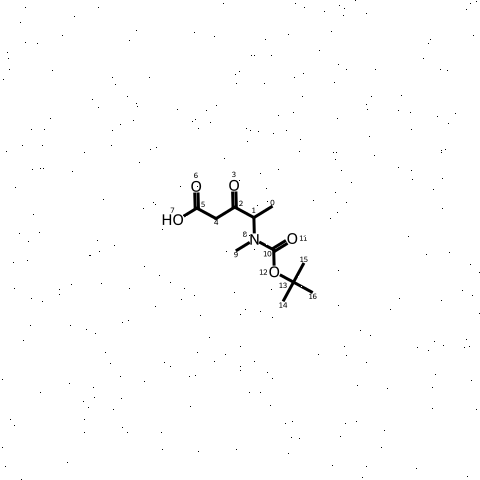 CC(C(=O)CC(=O)O)N(C)C(=O)OC(C)(C)C